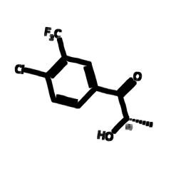 C[C@H](O)C(=O)c1ccc(Cl)c(C(F)(F)F)c1